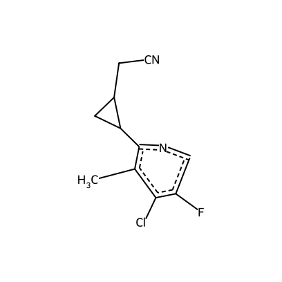 Cc1c(C2CC2CC#N)ncc(F)c1Cl